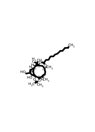 CCCCCCCCCCCC(=O)O[C@@]12C[C@@H](C)C/C=C(/C)[C@@H]3OC(C)(C)O[C@]34CC(=O)[C@@H](C=C(CO)[C@H]4O)[C@@H]1C2(C)C